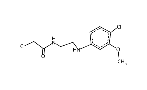 COc1cc(NCCNC(=O)CCl)ccc1Cl